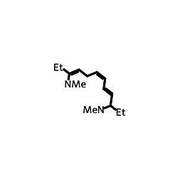 CCC(=CC/C=C\C=C\C(CC)NC)NC